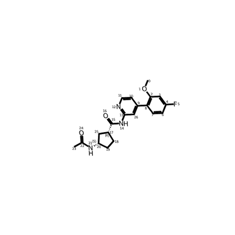 COc1cc(F)ccc1-c1ccnc(NC(=O)[C@@H]2CC[C@H](NC(C)=O)C2)c1